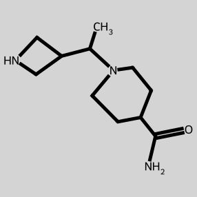 CC(C1CNC1)N1CCC(C(N)=O)CC1